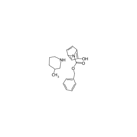 CC1CCCNC1.O=C(OCc1ccccc1)n1c2ccc1c(O)c2